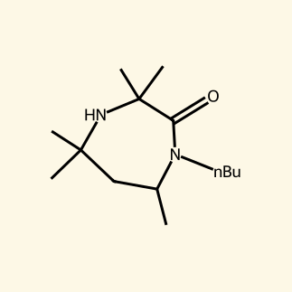 CCCCN1C(=O)C(C)(C)NC(C)(C)CC1C